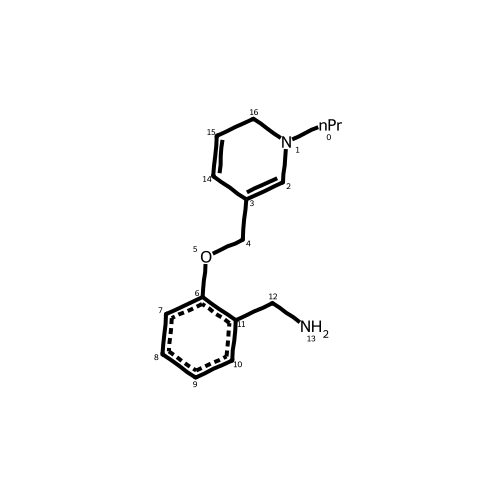 CCCN1C=C(COc2ccccc2CN)C=CC1